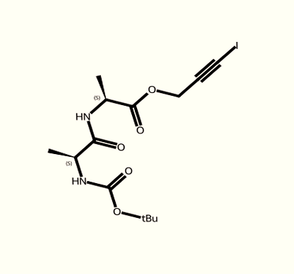 C[C@H](NC(=O)OC(C)(C)C)C(=O)N[C@@H](C)C(=O)OCC#CI